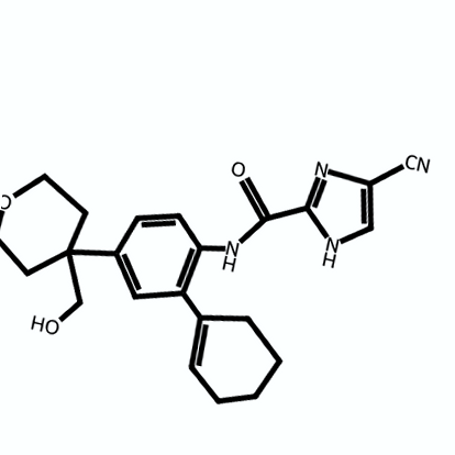 N#Cc1c[nH]c(C(=O)Nc2ccc(C3(CO)CCOCC3)cc2C2=CCCCC2)n1